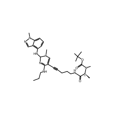 CCCNC1=NC(Nc2cccc3c2cnn3C)N(C)C=C1C#CCCCNC(=O)[C@H](C)N(C)C(=O)OC(C)(C)C